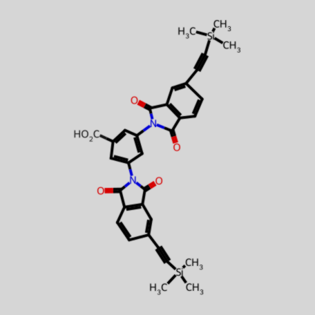 C[Si](C)(C)C#Cc1ccc2c(c1)C(=O)N(c1cc(C(=O)O)cc(N3C(=O)c4ccc(C#C[Si](C)(C)C)cc4C3=O)c1)C2=O